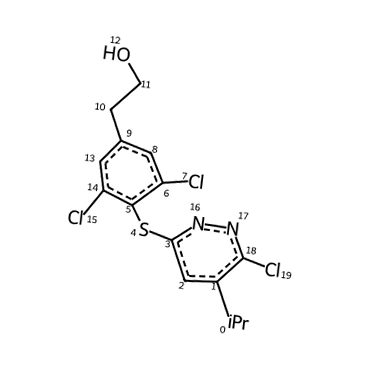 CC(C)c1cc(Sc2c(Cl)cc(CCO)cc2Cl)nnc1Cl